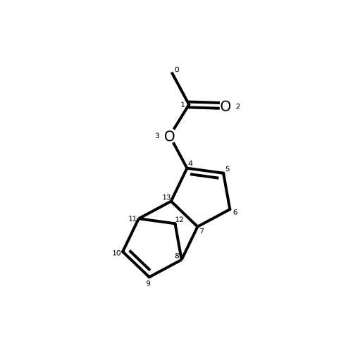 CC(=O)OC1=CCC2C3C=CC(C3)C12